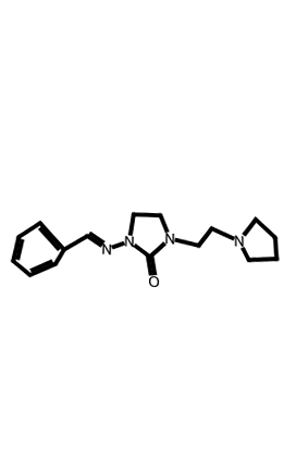 O=C1N(CCN2CCCC2)CCN1/N=C/c1ccccc1